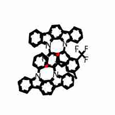 Cc1cc(-c2cc(-n3c4ccccc4c4ccc5c6ccccc6n(-c6ccccc6)c5c43)ncc2-n2c3ccccc3c3ccc4c5ccccc5n(-c5ccccc5)c4c32)cc(C(F)(F)F)c1